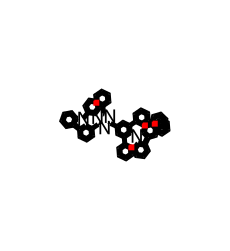 c1ccc(-c2cccc(-c3cc(-c4nc(-c5ccccc5)nc(-c5cccc6c7ccccc7n(-c7ccccc7)c56)n4)cc(-c4ccccc4)c3-n3c4ccccc4c4cc5ccccc5cc43)c2)cc1